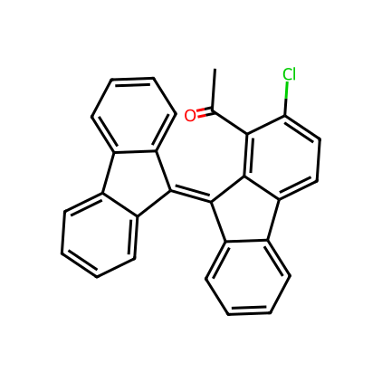 CC(=O)c1c(Cl)ccc2c1C(=C1c3ccccc3-c3ccccc31)c1ccccc1-2